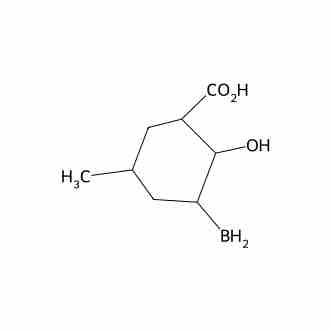 BC1CC(C)CC(C(=O)O)C1O